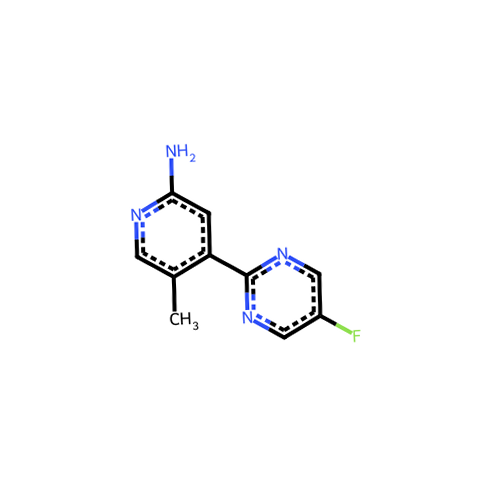 Cc1cnc(N)cc1-c1ncc(F)cn1